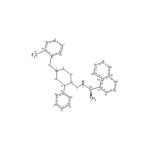 C[C@@H](NCC1CCN(Cc2ccccc2C(F)(F)F)CC1c1ccccc1)c1cccc2ccccc12